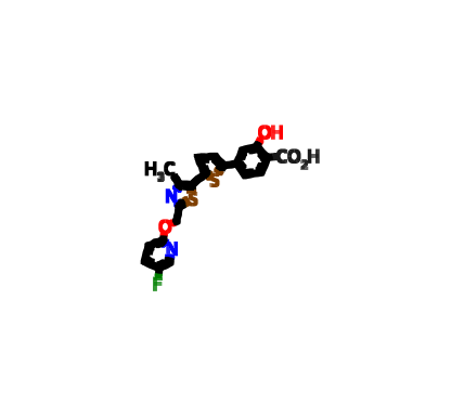 Cc1nc(COc2ccc(F)cn2)sc1-c1ccc(-c2ccc(C(=O)O)c(O)c2)s1